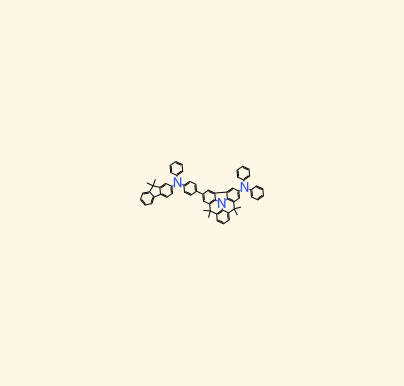 CC1(C)c2ccccc2-c2ccc(N(c3ccccc3)c3ccc(-c4cc5c6c(c4)c4cc(N(c7ccccc7)c7ccccc7)cc7c4n6-c4c(cccc4C7(C)C)C5(C)C)cc3)cc21